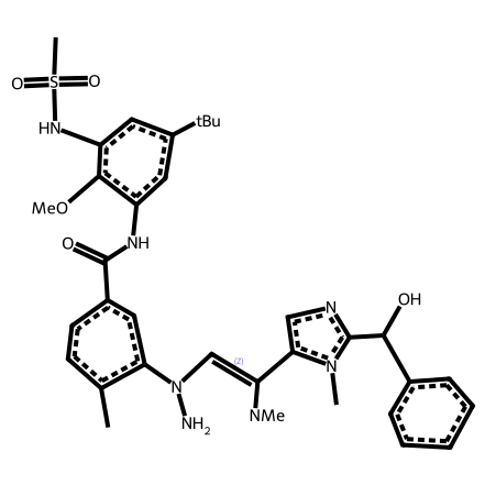 CN/C(=C\N(N)c1cc(C(=O)Nc2cc(C(C)(C)C)cc(NS(C)(=O)=O)c2OC)ccc1C)c1cnc(C(O)c2ccccc2)n1C